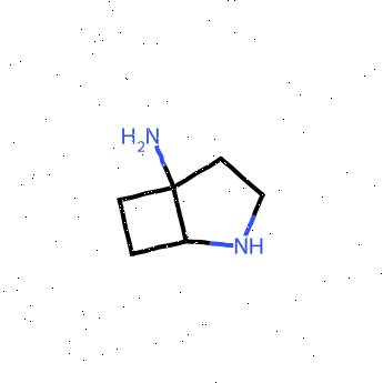 NC12CCNC1CC2